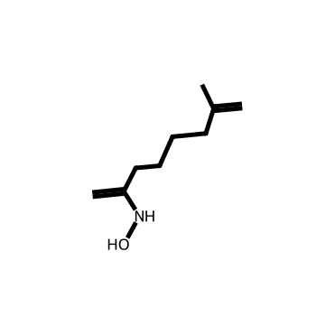 C=C(C)CCCCC(=C)NO